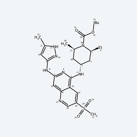 CC[C@H]1C[C@H](Nc2nc(Nc3cc(C)[nH]n3)cc3ncc(S(C)(=O)=O)cc23)C[C@@H](C)N1C(=O)OC(C)(C)C